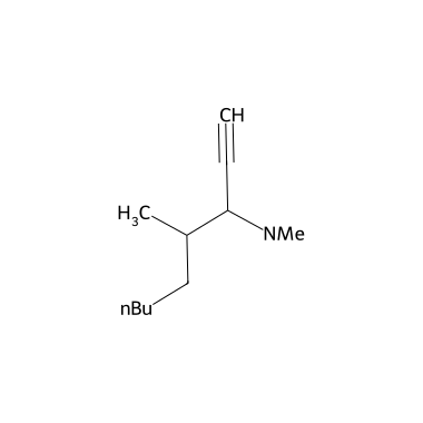 C#CC(NC)C(C)CCCCC